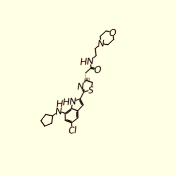 O=C(C[C@@H]1CSC(c2cc3cc(Cl)cc(NC4CCCC4)c3[nH]2)=N1)NCCN1CCOCC1